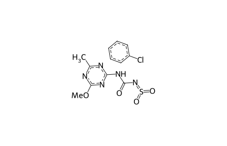 COc1nc(C)nc(NC(=O)N=S(=O)=O)n1.Clc1ccccc1